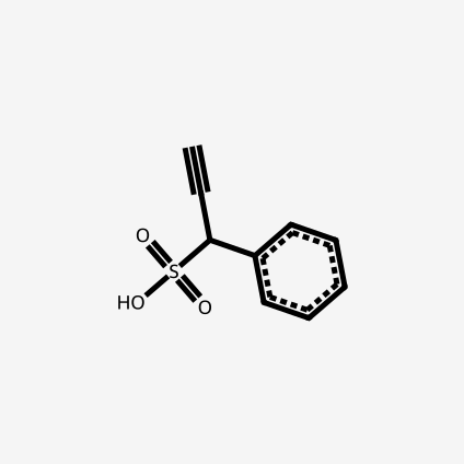 C#CC(c1ccccc1)S(=O)(=O)O